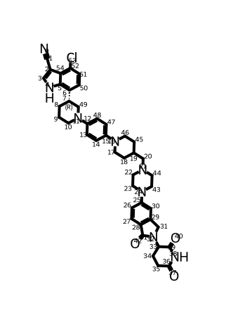 N#Cc1c[nH]c2c([C@H]3CCCN(c4ccc(N5CCC(CN6CCN(c7ccc8c(c7)CN(C7CCC(=O)NC7=O)C8=O)CC6)CC5)cc4)C3)ccc(Cl)c12